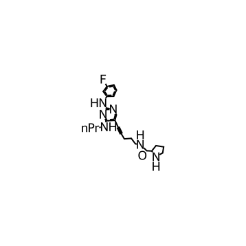 CCCNc1nc(Nc2cccc(F)c2)ncc1C#CCCCNC(=O)C1CCCN1